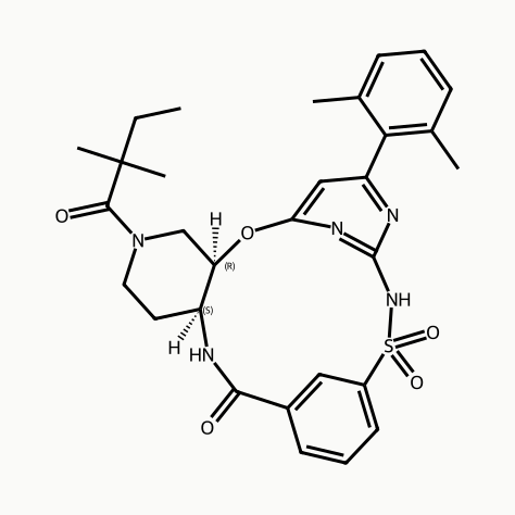 CCC(C)(C)C(=O)N1CC[C@@H]2NC(=O)c3cccc(c3)S(=O)(=O)Nc3nc(cc(-c4c(C)cccc4C)n3)O[C@@H]2C1